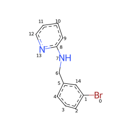 Brc1cccc(CNc2ccccn2)c1